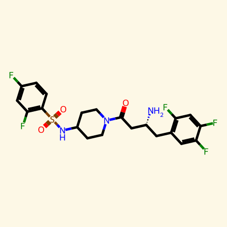 N[C@@H](CC(=O)N1CCC(NS(=O)(=O)c2ccc(F)cc2F)CC1)Cc1cc(F)c(F)cc1F